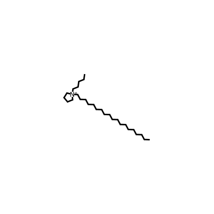 CCCCCCCCCCCCCCCCCCC[N+]1(CCCCC)CCCC1